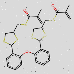 C=C(C)C(=O)SCC1CSC(c2ccccc2Oc2ccccc2C2SCC(CSC(=O)C(=C)C)S2)S1